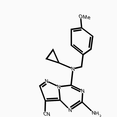 COc1ccc(CN(c2nc(N)nc3c(C#N)cnn23)C2CC2)cc1